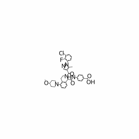 COC1CCN(c2cccc3c2CCN(C(=O)c2cnn(-c4cccc(Cl)c4F)c2C)C3C(=O)Nc2ccc(C(=O)O)cc2)CC1